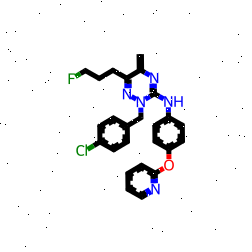 C=C1N=C(Nc2ccc(Oc3ccccn3)cc2)N(Cc2ccc(Cl)cc2)N=C1CCCF